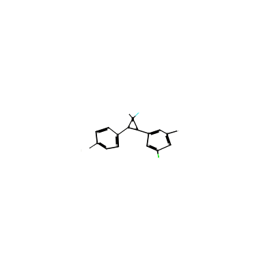 Cc1cc(Cl)cc(C2C(c3ccc(C(C)C)cc3)C2(C)F)c1